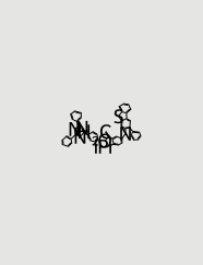 C=C(Oc1ccc(-c2nc(-c3ccccc3)nc(-c3ccccc3)n2)cc1C(C)C)c1cccc(-n2c3ccccc3c3cc4c(cc32)sc2ccccc24)c1